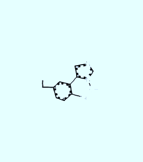 Cn1cncc1-c1cc(CF)ccc1Br